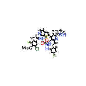 CCOC(=O)c1c([C@@H]2CCCN2)nc(CCc2ccc(F)cc2)c(-c2n[nH]c(=O)o2)c1-c1cc2ccnc(N[C@@H]3CCc4c3cc(Cl)c(OC)c4F)c2s1